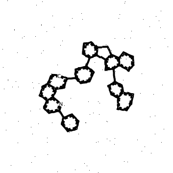 c1ccc(-c2ccc3ccc4ccc(-c5cccc(-c6cccc7c6-c6cc(-c8ccc9ccccc9c8)c8ccccc8c6C7)c5)cc4c3n2)cc1